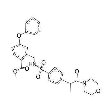 COC(=O)c1ccc(Oc2ccccc2)cc1CNS(=O)(=O)c1ccc(C(C)C(=O)N2CCOCC2)cc1